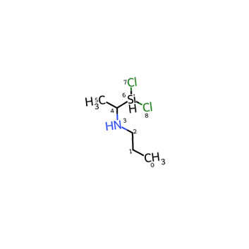 CCCNC(C)[SiH](Cl)Cl